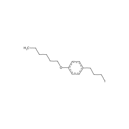 CCCCCCOc1ccc(CCCI)cc1